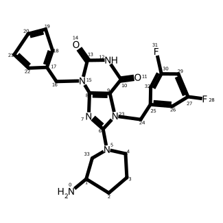 NC1CCCN(c2nc3c(c(=O)[nH]c(=O)n3Cc3ccccc3)n2Cc2cc(F)cc(F)c2)C1